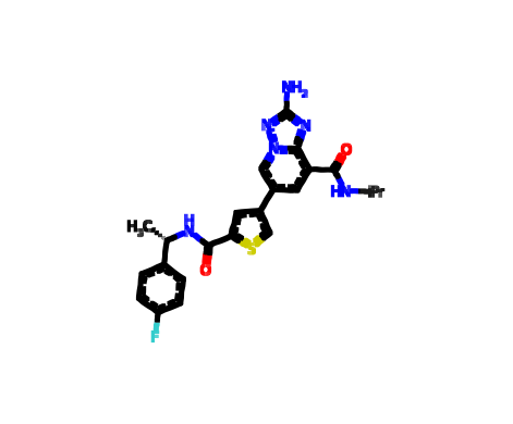 CC(C)NC(=O)c1cc(-c2csc(C(=O)N[C@@H](C)c3ccc(F)cc3)c2)cn2nc(N)nc12